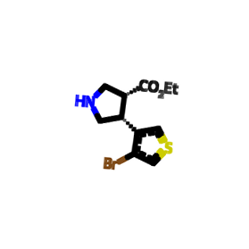 CCOC(=O)[C@H]1CNC[C@H]1c1cscc1Br